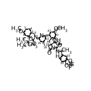 COc1ccc(CN(C(=O)OC(C)(C)C)c2cc(C[C@H]3C(=O)N(C(=O)N[C@H](C)c4ccc5c(c4)OC(F)(F)O5)[C@]3(Cc3ccc(OC)cc3)C(=O)O)ccn2)cc1